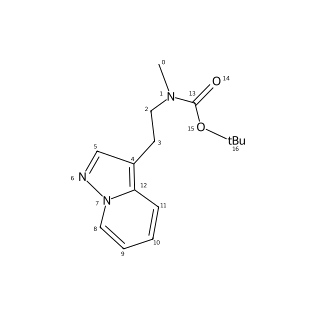 CN(CCc1cnn2ccccc12)C(=O)OC(C)(C)C